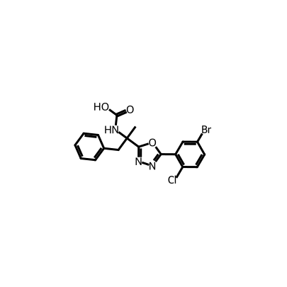 CC(Cc1ccccc1)(NC(=O)O)c1nnc(-c2cc(Br)ccc2Cl)o1